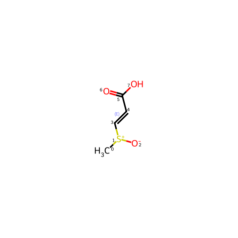 C[S+]([O-])/C=C/C(=O)O